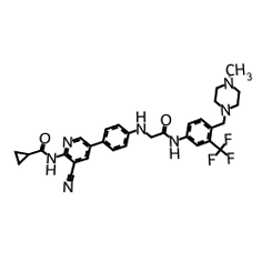 CN1CCN(Cc2ccc(NC(=O)CNc3ccc(-c4cnc(NC(=O)C5CC5)c(C#N)c4)cc3)cc2C(F)(F)F)CC1